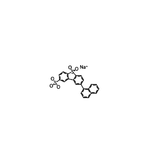 O=S(=O)([O-])c1ccc2c(c1)-c1cc(-c3cccc4ccccc34)ccc1S2(=O)=O.[Na+]